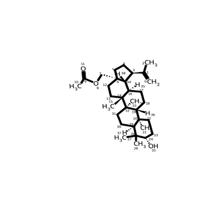 C=C(C)[C@@H]1CC[C@]2(COC(C)=O)CC[C@]3(C)[C@H](CC[C@@H]4[C@@]5(C)CC[C@H](O)C(C)(C)[C@H]5CC[C@]43C)[C@@H]12